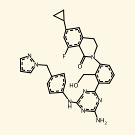 Nc1nc(Nc2ccc(Cn3cccn3)cc2)nc(-c2cccc(N3CCc4cc(C5CC5)cc(F)c4C3=O)c2CO)n1